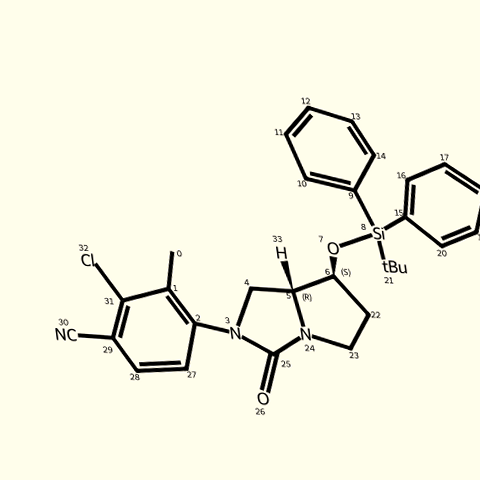 Cc1c(N2C[C@@H]3[C@@H](O[Si](c4ccccc4)(c4ccccc4)C(C)(C)C)CCN3C2=O)ccc(C#N)c1Cl